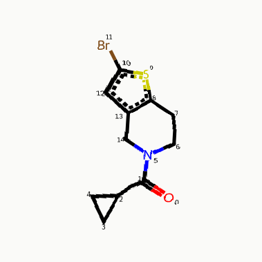 O=C(C1CC1)N1CCc2sc(Br)cc2C1